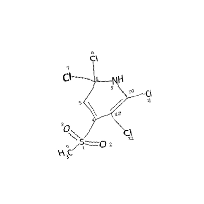 CS(=O)(=O)C1=CC(Cl)(Cl)NC(Cl)=C1Cl